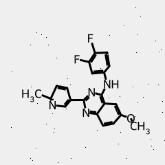 COc1ccc2nc(-c3ccc(C)nc3)nc(Nc3ccc(F)c(F)c3)c2c1